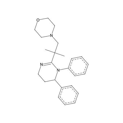 CC(C)(CN1CCOCC1)C1=NCCC(c2ccccc2)N1c1ccccc1